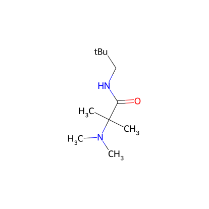 CN(C)C(C)(C)C(=O)NCC(C)(C)C